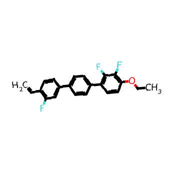 C=Cc1ccc(-c2ccc(-c3ccc(OCC)c(F)c3F)cc2)cc1F